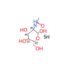 CC(=O)N[C@H]1C(O)O[C@H](CO)[C@@H](O)[C@@H]1O.[Sn]